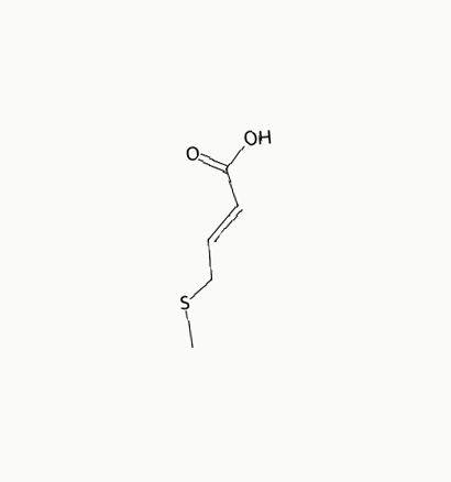 CSCC=CC(=O)O